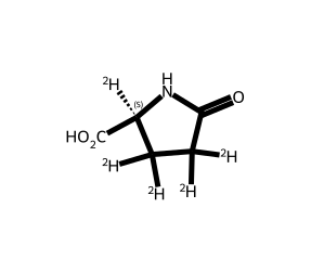 [2H]C1([2H])C(=O)N[C@]([2H])(C(=O)O)C1([2H])[2H]